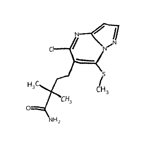 CSc1c(CCC(C)(C)C(N)=O)c(Cl)nc2ccnn12